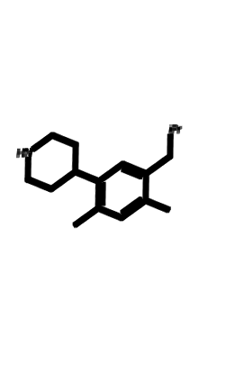 Cc1cc(C)c(C2CCNCC2)cc1CC(C)C